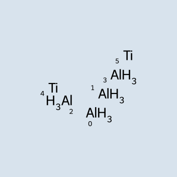 [AlH3].[AlH3].[AlH3].[AlH3].[Ti].[Ti]